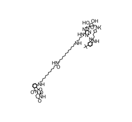 CC(C)N(C[C@H]1O[C@@H](n2cnc3c(NCCCCNCCCCCCCCCCCCNC(=O)CCCCCCCCCCCNc4cccc5c4C(=O)N(C4CCC(=O)NC4=O)C5=O)ncnc32)C(O)C1O)C1CC(CCc2nc3cc(C(C)(C)C)ccc3[nH]2)C1